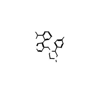 CC(C)c1ccccc1-c1cnccc1CN1CCN(C)CC1c1ccc(F)cc1